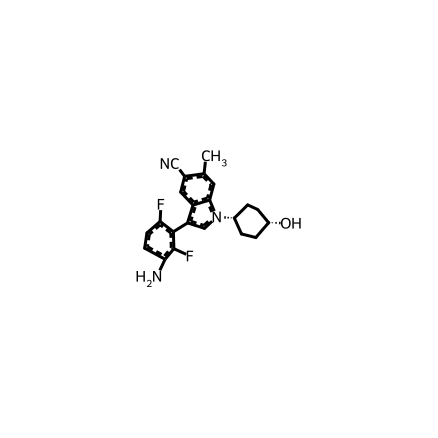 Cc1cc2c(cc1C#N)c(-c1c(F)ccc(N)c1F)cn2[C@H]1CC[C@@H](O)CC1